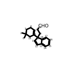 CC1(C)CCC=C(C2(CCC=O)C=Cc3ccccc32)C1